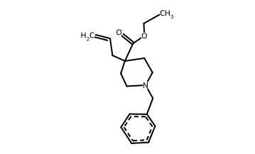 C=CCC1(C(=O)OCC)CCN(Cc2ccccc2)CC1